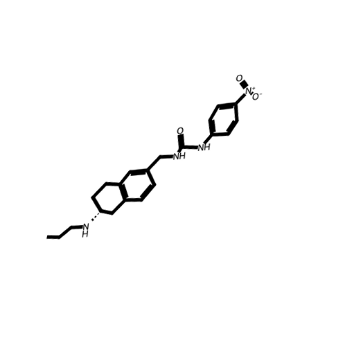 CCCN[C@@H]1CCc2cc(CNC(=O)Nc3ccc([N+](=O)[O-])cc3)ccc2C1